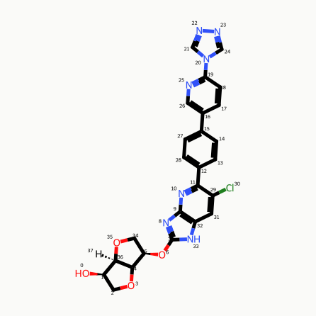 O[C@@H]1COC2[C@H](Oc3nc4nc(-c5ccc(-c6ccc(-n7cnnc7)nc6)cc5)c(Cl)cc4[nH]3)CO[C@@H]21